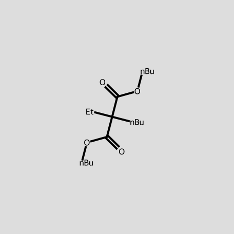 CCCCOC(=O)C(CC)(CCCC)C(=O)OCCCC